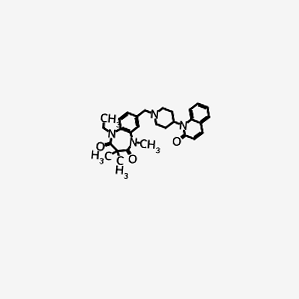 CCN1C(=O)C(C)(C)C(=O)N(C)c2cc(CN3CCC(n4c(=O)ccc5ccccc54)CC3)ccc21